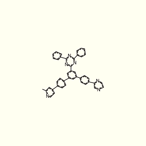 Cc1cc(-c2ccc(-c3cc(-c4ccc(-c5cnccn5)cc4)cc(-c4nc(-c5ccccc5)nc(-c5ccccc5)n4)c3)cc2)ccn1